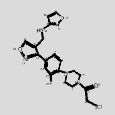 O=C(CCl)N1CCN(c2ccc(-c3nocc3CNc3ccon3)cc2F)CC1